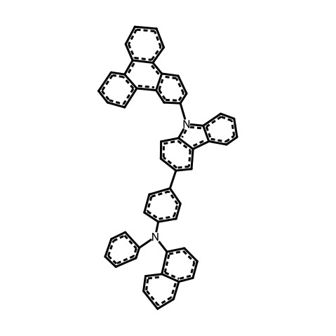 c1ccc(N(c2ccc(-c3ccc4c(c3)c3ccccc3n4-c3ccc4c5ccccc5c5ccccc5c4c3)cc2)c2cccc3ccccc23)cc1